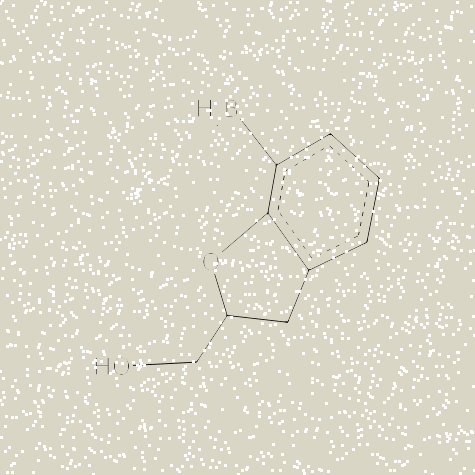 Bc1cccc2c1OC(CO)C2